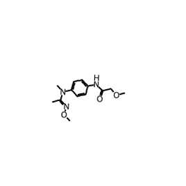 COCC(=O)Nc1ccc(N(C)C(C)=NOC)cc1